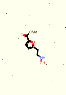 COC(=O)c1ccc(CCNO)o1